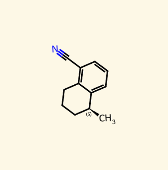 C[C@H]1CCCc2c(C#N)cccc21